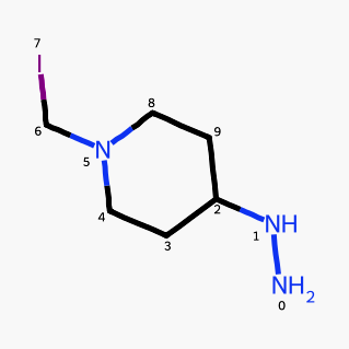 NNC1CCN(CI)CC1